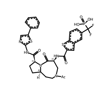 CC(=O)N1CC[C@H]2CC[C@@H](C(=O)Nc3ncc(-c4ccccc4)s3)N2C(=O)[C@@H](NC(=O)c2cc3cc(C(F)(F)P(=O)(O)O)ccc3s2)C1